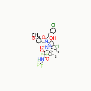 COc1ccc([C@@H](C(=O)N[C@H](C(=O)C(F)(F)C(=O)NCC(F)(F)F)C(C)C)N(C(=O)CCc2cccc(Cl)c2)c2ncc(Cl)cc2O)cc1